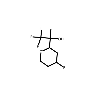 CC(O)(C1CC(F)CCO1)C(F)(F)F